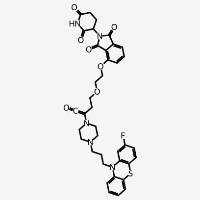 O=C=C(CCOCCOc1cccc2c1C(=O)N(C1CCC(=O)NC1=O)C2=O)N1CCN(CCCN2c3ccccc3Sc3ccc(F)cc32)CC1